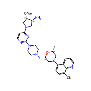 CO[C@H]1CN(c2ccnc(N3CCN(C[C@H]4CN(c5ccc(C#N)c6ncccc56)C[C@@H](C)O4)CC3)n2)C[C@@H]1N